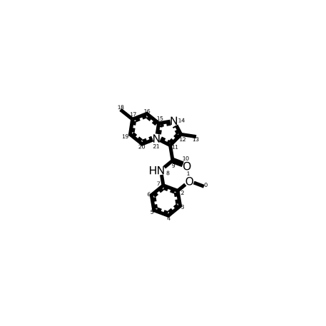 COc1ccccc1NC(=O)c1c(C)nc2cc(C)ccn12